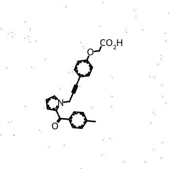 Cc1ccc(C(=O)c2cccn2CC#Cc2ccc(OCC(=O)O)cc2)cc1